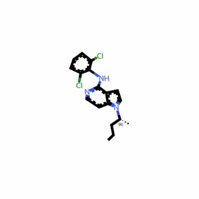 CCC[C@@H](C)n1ccc2c(Nc3c(Cl)cccc3Cl)nccc21